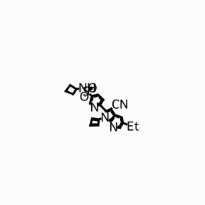 CCc1cnc2c(c1)c(C#N)c(-c1ccc(S(=O)(=O)NC3CCC3)cn1)n2C1=CC=C1